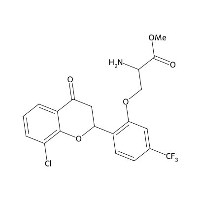 COC(=O)C(N)COc1cc(C(F)(F)F)ccc1C1CC(=O)c2cccc(Cl)c2O1